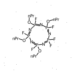 CCCOP1(F)=NP(F)(F)=NP(F)(OCCC)=NP(F)(OCCC)=NP(F)(OCCC)=N1